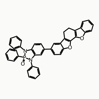 O=P1(c2ccccc2)N(c2ccccc2)c2ccc(-c3ccc4oc5c(c4c3)CCc3c-5oc4ccccc34)cc2N1c1ccccc1